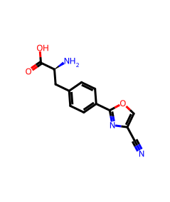 N#Cc1coc(-c2ccc(C[C@H](N)C(=O)O)cc2)n1